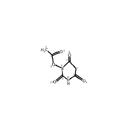 CC(=O)ON1C(=O)CC(=O)NC1=O